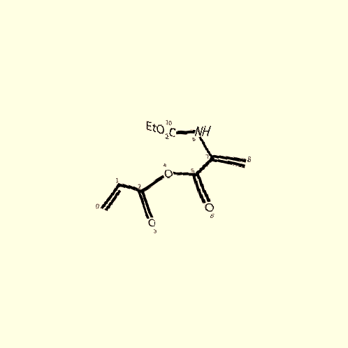 C=CC(=O)OC(=O)C(=C)NC(=O)OCC